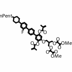 C=C(C)C(=O)Oc1cc(-c2ccc(-c3ccc(C4CCC(CCCCC)CC4)cc3F)cc2)c(OC(=O)C(=C)C)cc1OCC(COC(=O)C(=O)OC)COC(=O)C(=O)OC